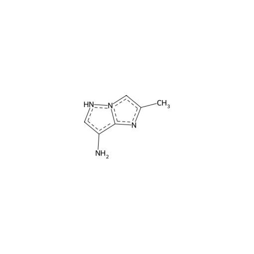 Cc1cn2[nH]cc(N)c2n1